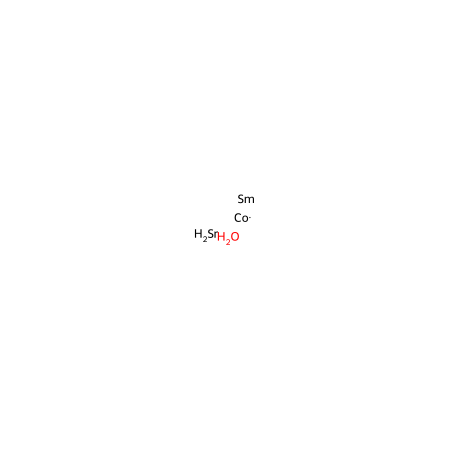 O.[Co].[Sm].[SrH2]